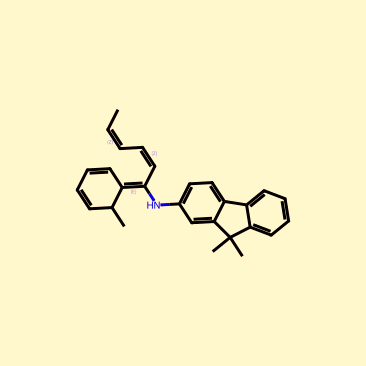 C\C=C/C=C\C(Nc1ccc2c(c1)C(C)(C)c1ccccc1-2)=C1/C=CC=CC1C